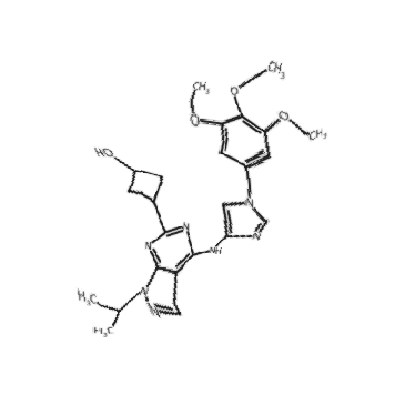 COc1cc(-n2cnc(Nc3nc(C4CC(O)C4)nc4c3cnn4C(C)C)c2)cc(OC)c1OC